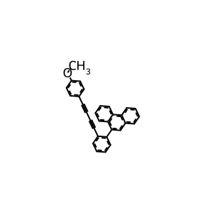 COc1ccc(C#CC#Cc2ccccc2-c2cc3ccccc3c3ccccc23)cc1